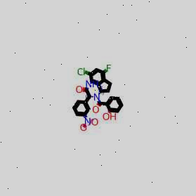 NC(=O)[C@@H](c1cccc([N+](=O)[O-])c1)N(C(=O)c1ccccc1O)[C@@H]1CCc2c(F)cc(Cl)cc21